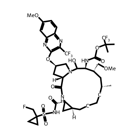 COC[C@@H]1C[C@H](C)CCCC[C@H]2C[C@@]2(C(=O)NS(=O)(=O)C2(CF)CC2)NC(=O)[C@@H]2C[C@@H](Oc3nc4cc(OC)ccc4nc3C(F)(F)F)CN2C(O)[C@H]1NC(=O)OC(C)(C)C(F)(F)F